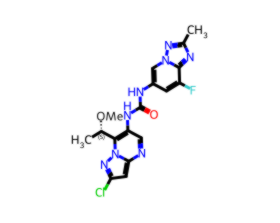 CO[C@@H](C)c1c(NC(=O)Nc2cc(F)c3nc(C)nn3c2)cnc2cc(Cl)nn12